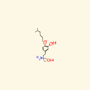 CCC(N)(CO)CCc1ccc(OCCCCC(C)C)c(O)c1